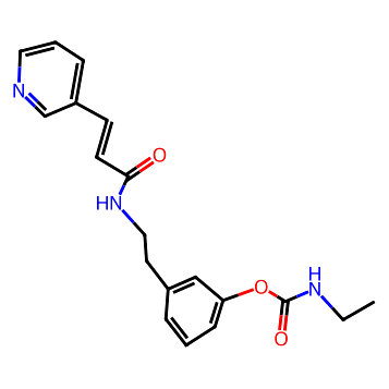 CCNC(=O)Oc1cccc(CCNC(=O)C=Cc2cccnc2)c1